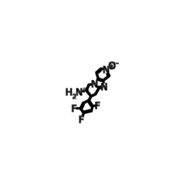 N[C@H]1Cn2c(nc3c[n+]([O-])ccc32)CC1c1cc(F)c(F)cc1F